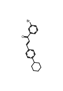 O=C(C=Cc1ccc(C2CCCCC2)cc1)c1cccc(Br)c1